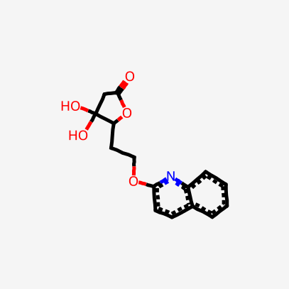 O=C1CC(O)(O)C(CCOc2ccc3ccccc3n2)O1